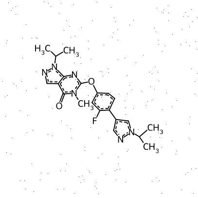 CC(C)n1cc(-c2ccc(Oc3nc4c(cnn4C(C)C)c(=O)n3C)cc2F)cn1